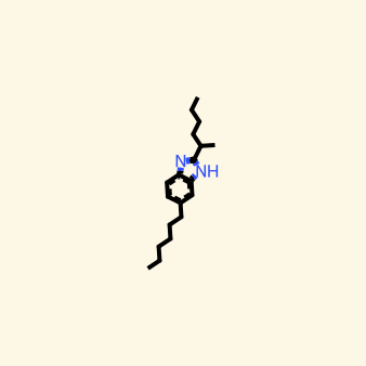 CCCCCCc1ccc2nc(C(C)CCCC)[nH]c2c1